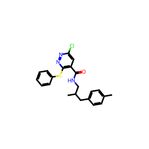 Cc1ccc(CC(C)CNC(=O)c2cc(Cl)nnc2Sc2ccccc2)cc1